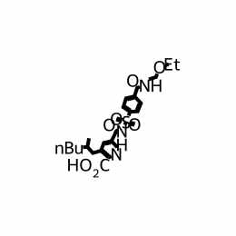 CCCCC(C)Cc1cc(C(=O)NS(=O)(=O)c2ccc(C(=O)NCCOCC)cc2)cnc1C(=O)O